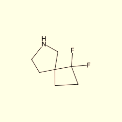 FC1(F)CCC12CCNC2